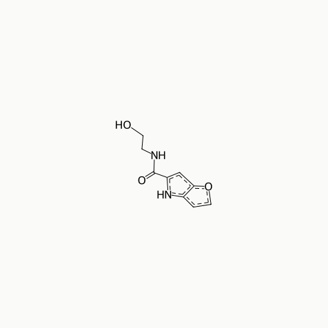 O=C(NCCO)c1cc2occc2[nH]1